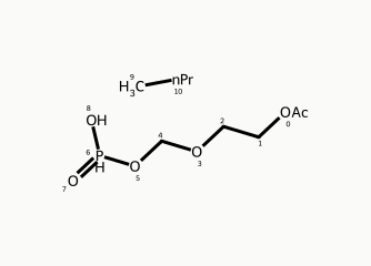 CC(=O)OCCOCO[PH](=O)O.CCCC